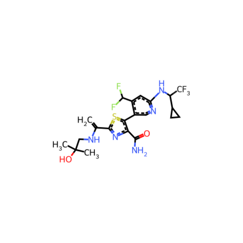 C=C(NCC(C)(C)O)c1nc(C(N)=O)c(-c2cnc(NC(C3CC3)C(F)(F)F)cc2C(F)F)s1